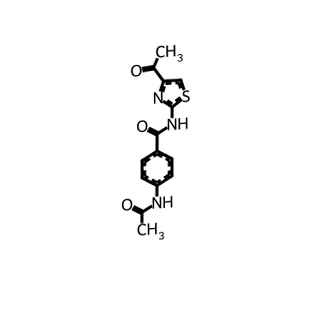 CC(=O)Nc1ccc(C(=O)Nc2nc(C(C)=O)cs2)cc1